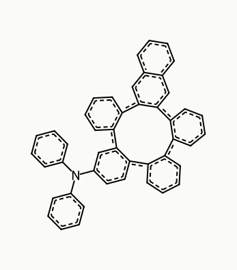 c1ccc(N(c2ccccc2)c2ccc3c4ccccc4c4ccccc4c4cc5ccccc5cc4c4ccccc4c3c2)cc1